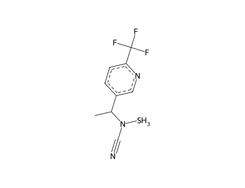 CC(c1ccc(C(F)(F)F)nc1)N([SH3])C#N